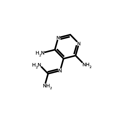 NC(N)=Nc1c(N)ncnc1N